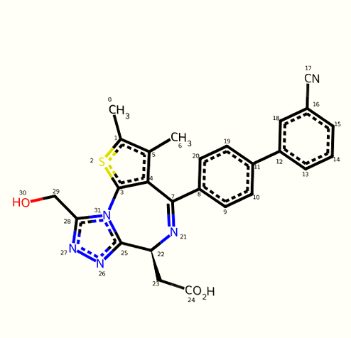 Cc1sc2c(c1C)C(c1ccc(-c3cccc(C#N)c3)cc1)=N[C@@H](CC(=O)O)c1nnc(CO)n1-2